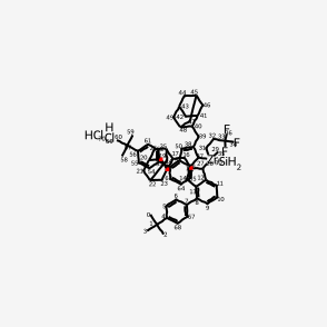 CC(C)(C)c1ccc(-c2cccc3c2C=C(CC2C4CC5CC(C4)CC2C5)[CH]3[Zr]([CH3])(=[SiH2])([CH2]CC(F)(F)F)[CH]2C(CC3C4CC5CC(C4)CC3C5)=Cc3c(-c4ccc(C(C)(C)C)cc4)cccc32)cc1.Cl.Cl